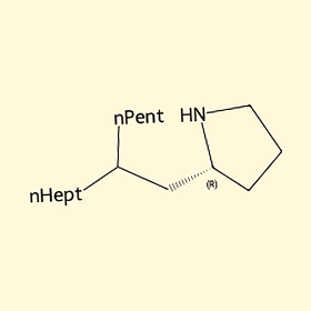 CCCCCCCC(CCCCC)C[C@H]1CCCN1